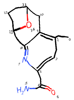 Cc1cc(C(N)=O)nc2c1CC1CC2O1